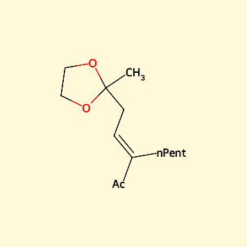 CCCCC/C(=C\CC1(C)OCCO1)C(C)=O